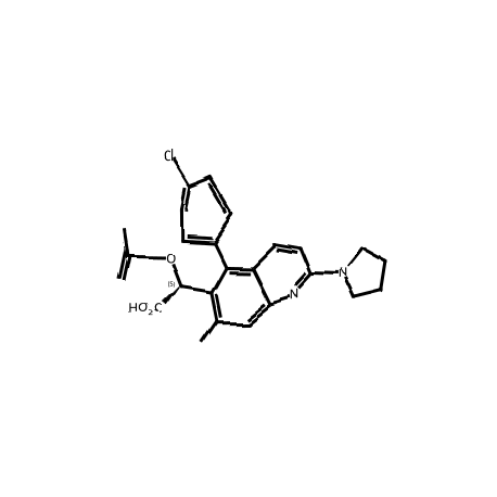 C=C(C)O[C@H](C(=O)O)c1c(C)cc2nc(N3CCCC3)ccc2c1-c1ccc(Cl)cc1